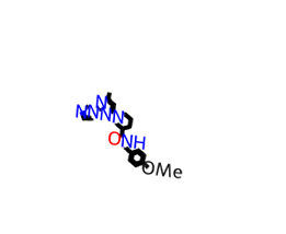 COc1ccc(CNC(=O)C2CCCN(c3cc(C)nc(-n4ccnc4)n3)C2)cc1